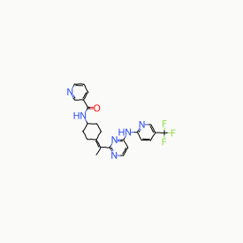 CC(=C1CCC(NC(=O)c2cccnc2)CC1)c1nccc(Nc2ccc(C(F)(F)F)cn2)n1